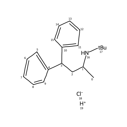 CC(CC(c1ccccc1)c1ccccc1)NC(C)(C)C.[Cl-].[H+]